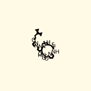 CC1(C)C[C@@H]2CN1c1nc(-n3ccc(OCCC4C5(CC5)C45CC5)n3)ccc1C(=O)NS(=O)(=O)c1cccc(n1)NCC(F)(F)C2